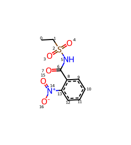 CCS(=O)(=O)NC(=O)c1ccccc1[N+](=O)[O-]